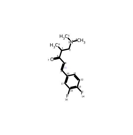 CC(CN(C)C)C(=O)/C=C/c1ccc(F)c(F)c1